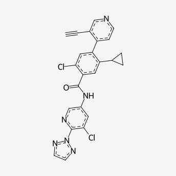 C#Cc1cnccc1-c1cc(Cl)c(C(=O)Nc2cnc(-n3nccn3)c(Cl)c2)cc1C1CC1